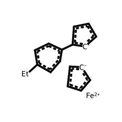 CCc1ccc(-c2ccc[cH-]2)cc1.[Fe+2].c1cc[cH-]c1